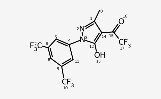 Cc1nn(-c2cc(C(F)(F)F)cc(C(F)(F)F)c2)c(O)c1C(=O)C(F)(F)F